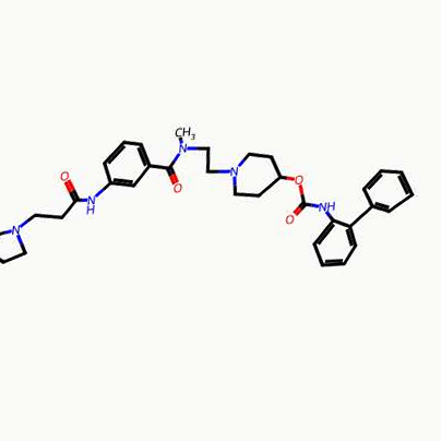 CN(CCN1CCC(OC(=O)Nc2ccccc2-c2ccccc2)CC1)C(=O)c1cccc(NC(=O)CCN2CCCC2)c1